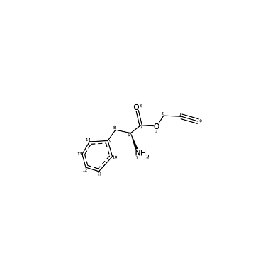 C#CCOC(=O)[C@@H](N)Cc1ccccc1